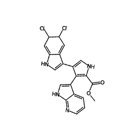 COC(=O)c1[nH]cc(-c2c[nH]c3c2=CC(Cl)C(Cl)C=3)c1-c1c[nH]c2ncccc12